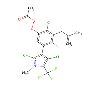 C=C(C)Cc1c(F)c(-c2c(Cl)c(C(F)(F)F)n(C)c2Cl)cc(OOC(C)=O)c1Cl